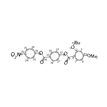 CC[C@H](C)Oc1cc(OC)ccc1C(=O)Oc1ccc(C(=O)Oc2ccc([N+](=O)[O-])cc2)cc1